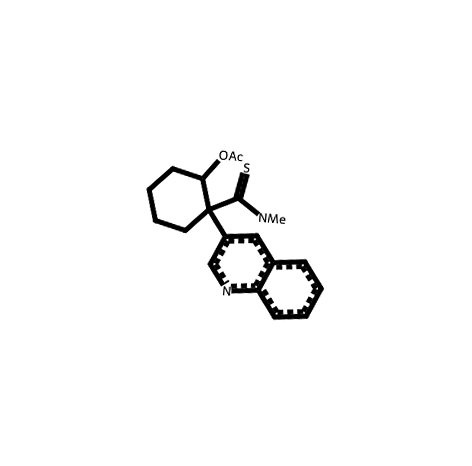 CNC(=S)C1(c2cnc3ccccc3c2)CCCCC1OC(C)=O